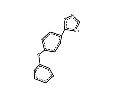 c1ccc(Oc2ccc(-c3nnc[nH]3)cc2)cc1